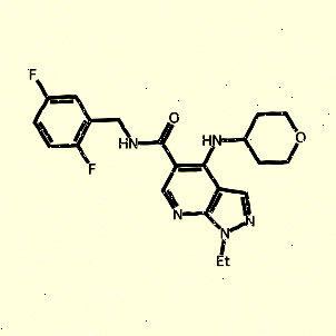 CCn1ncc2c(NC3CCOCC3)c(C(=O)NCc3cc(F)ccc3F)cnc21